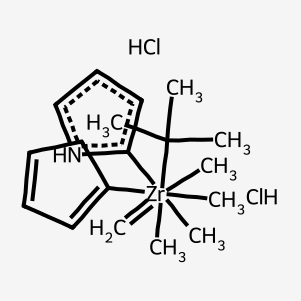 Cl.Cl.[CH2]=[Zr]([CH3])([CH3])([CH3])([CH3])([C]1=CC=CC1)([c]1ccc[nH]1)[C](C)(C)C